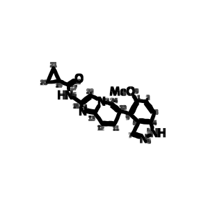 COc1ccc2[nH]ncc2c1-c1ccc2nc(NC(=O)C3CC3)cn2c1